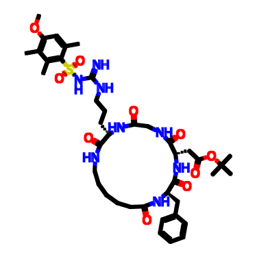 COc1cc(C)c(S(=O)(=O)NC(=N)NCCC[C@@H]2NC(=O)CNC(=O)[C@H](CC(=O)OC(C)(C)C)NC(=O)[C@@H](Cc3ccccc3)NC(=O)CCCCCNC2=O)c(C)c1C